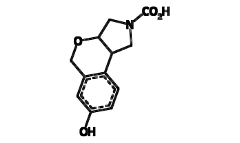 O=C(O)N1CC2OCc3cc(O)ccc3C2C1